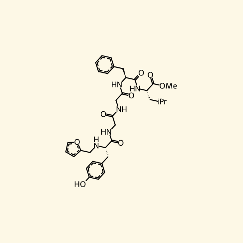 COC(=O)[C@H](CC(C)C)NC(=O)[C@H](Cc1ccccc1)NC(=O)CNC(=O)CNC(=O)[C@H](Cc1ccc(O)cc1)NCc1ccco1